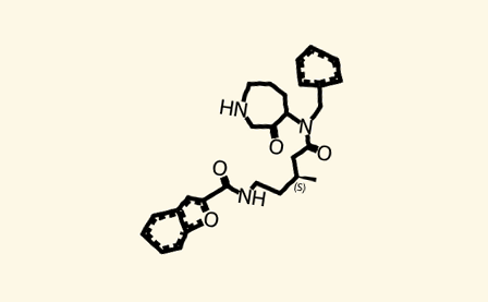 C[C@@H](CCNC(=O)c1cc2ccccc2o1)CC(=O)N(Cc1ccccc1)C1CCCNCC1=O